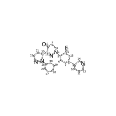 O=c1ccn(-c2ccc(-c3cccnc3)cc2F)nc1-c1ccnn1-c1ccccc1